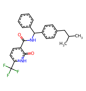 CC(C)Cc1ccc(C(NC(=O)c2ccc(C(F)(F)F)[nH]c2=O)c2ccccc2)cc1